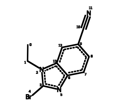 CCn1c(Br)nc2ccc(C#N)cc21